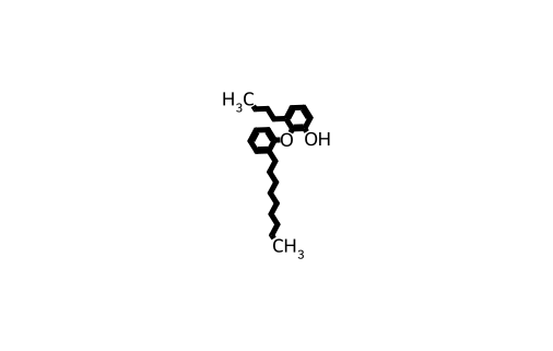 CCCCCCCCCc1ccccc1Oc1c(O)cccc1CCCC